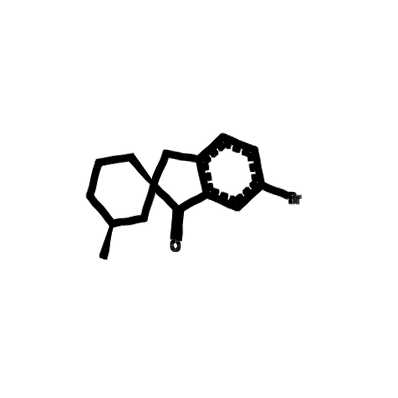 C[C@H]1CCC[C@]2(Cc3ccc(Br)cc3C2=O)C1